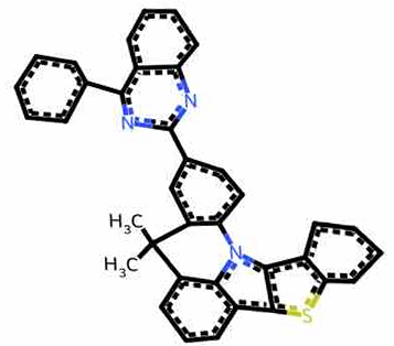 CC1(C)c2cc(-c3nc(-c4ccccc4)c4ccccc4n3)ccc2-n2c3c1cccc3c1sc3ccccc3c12